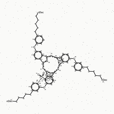 CCCCCCCCCCCCCCCc1cccc(Oc2ccc3c(c2)-c2nc-3nc3c4cc(Oc5cccc(CCCCCCCCCCCCCCC)c5)ccc4c(nc4c5cc(Oc6cccc(CCCCCCCCCCCCCCC)c6)ccc5c(n2)n4C)n3B(C)OS(=O)(=O)C(F)(F)F)c1